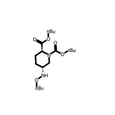 CCCCON[C@@H]1CC[C@@H](C(=O)OCCCC)N(C(=O)OC(C)(C)C)C1